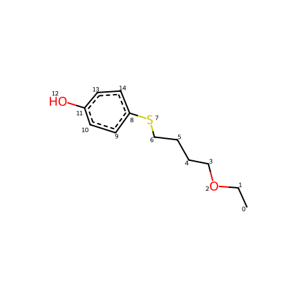 CCOCCCCSc1ccc(O)cc1